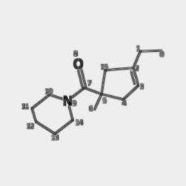 CCC1=CCC(C)(C(=O)N2CCCCC2)C1